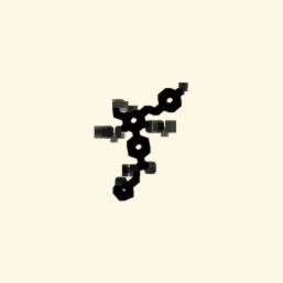 CC(C)Cc1nc(CCc2ccc(F)cc2)c(C(=O)O)c(-c2ccc(C(=O)NCc3ccco3)cc2)c1C(=O)O